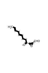 C/C=C/C/C=C/CCC(=O)[C@H]1O[C@H]1C=O